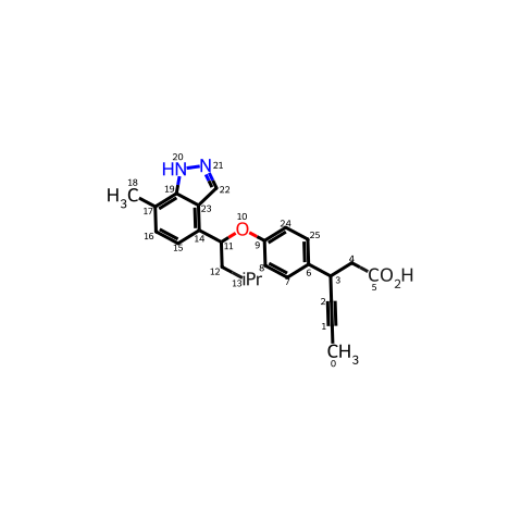 CC#CC(CC(=O)O)c1ccc(OC(CC(C)C)c2ccc(C)c3[nH]ncc23)cc1